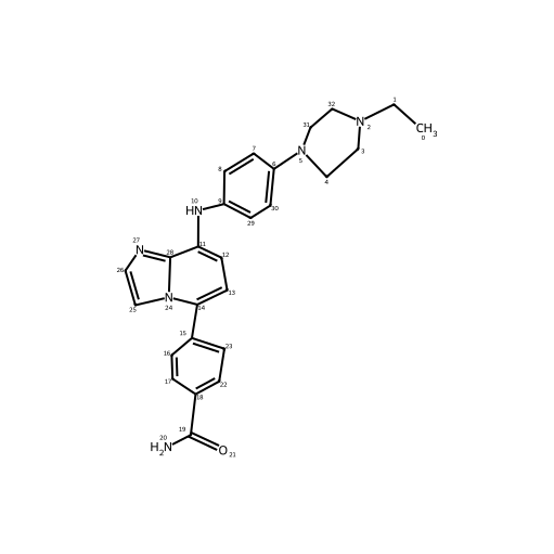 CCN1CCN(c2ccc(Nc3ccc(-c4ccc(C(N)=O)cc4)n4ccnc34)cc2)CC1